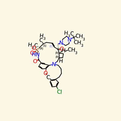 CCO[C@]1(CN2CCN(C(C)(C)C)CC2)/C=C/C[C@H](C)[C@@H](C)S(=O)(=O)NC(=O)c2ccc3c(c2)N(CCCCc2cc(Cl)ccc2CO3)C[C@@H]2CC[C@H]21